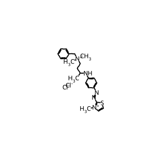 CC(CC[N+](C)(C)Cc1ccccc1)Nc1ccc(N=Nc2scc[n+]2C)cc1.[Cl-].[Cl-]